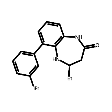 CC[C@@H]1CC(=O)Nc2cccc(-c3cccc(C(C)C)c3)c2N1